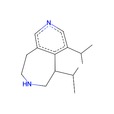 CC(C)c1cncc2c1C(C(C)C)CNCC2